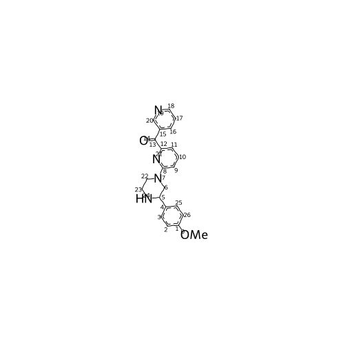 COc1ccc(C2CN(c3cccc(C(=O)c4cccnc4)n3)CCN2)cc1